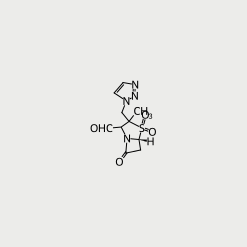 CC1(Cn2ccnn2)C(C=O)N2C(=O)C[C@H]2S1(=O)=O